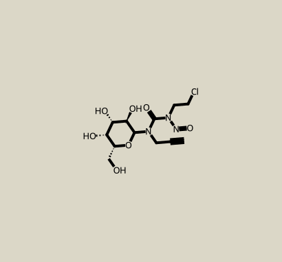 C#CCN(C(=O)N(CCCl)N=O)C1O[C@H](CO)[C@H](O)[C@H](O)[C@H]1O